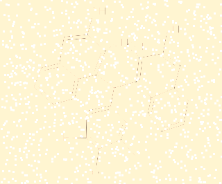 Oc1cc2ccccc2c(C(c2cc(I)c(O)c(I)c2)c2c(O)c(O)cc3ccccc23)c1O